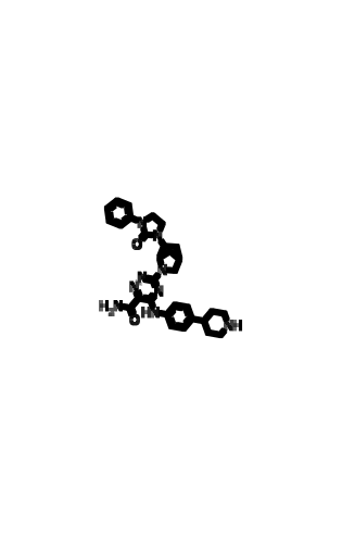 NC(=O)c1nnc(N2CC3CC(N4CCN(c5ccccc5)C4=O)C2C3)nc1Nc1ccc(C2CCNCC2)cc1